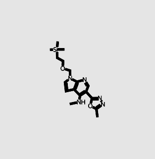 CNc1c(-c2nnc(C)o2)cnc2c1ccn2COCC[Si](C)(C)C